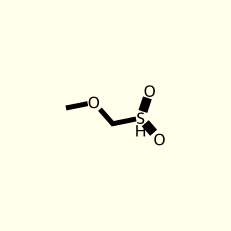 COC[SH](=O)=O